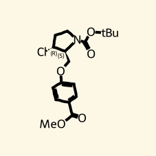 COC(=O)c1ccc(OC[C@H]2[C@H](Cl)CCN2C(=O)OC(C)(C)C)cc1